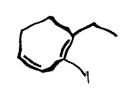 CCC1=C(I)C=CCC1